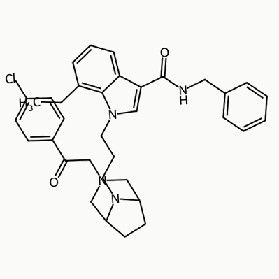 CCc1cccc2c(C(=O)NCc3ccccc3)cn(CCCN3C4CCC3CN(CC(=O)c3ccc(Cl)cc3)C4)c12